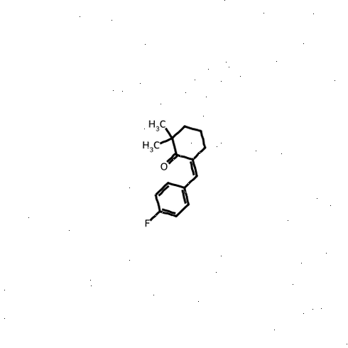 CC1(C)CCCC(=Cc2ccc(F)cc2)C1=O